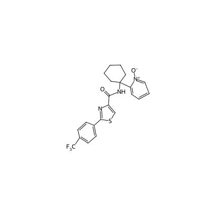 O=C(NC1(c2cccc[n+]2[O-])CCCCC1)c1csc(-c2ccc(C(F)(F)F)cc2)n1